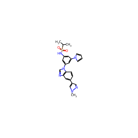 CC(C)S(=O)(=O)Nc1cc(-n2cccc2)cc(-n2cnc3cc(-c4cnn(C)c4)ccc32)c1